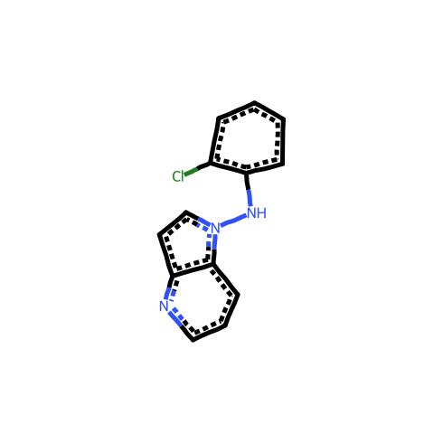 Clc1ccccc1Nn1ccc2ncccc21